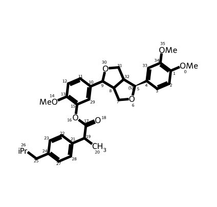 COc1ccc([C@H]2OCC3C(c4ccc(OC)c(OC(=O)C(C)c5ccc(CC(C)C)cc5)c4)OCC32)cc1OC